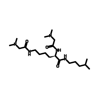 CC(C)CCCNC(=O)[C@H](CCCCNC(=O)CN(C)C)NC(=O)CN(C)C